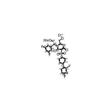 CCOCc1nc(=O)c(S(=O)(=O)c2ccc(-c3ccc(F)nc3C)cc2)c(O)n1[C@@H](COC)c1cc(F)cc(F)c1